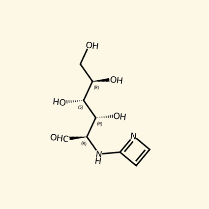 O=C[C@H](NC1=NC=C1)[C@@H](O)[C@H](O)[C@H](O)CO